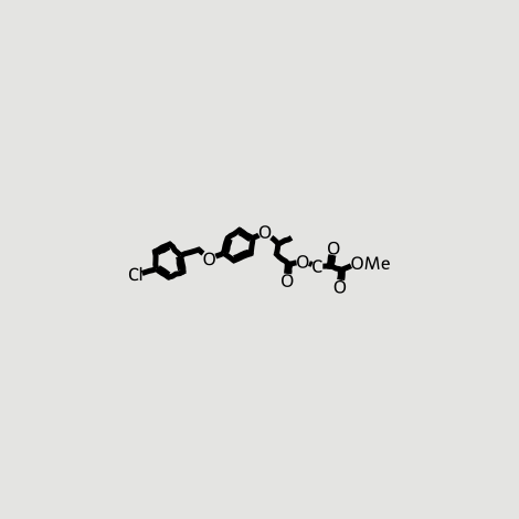 COC(=O)C(=O)COC(=O)CC(C)Oc1ccc(OCc2ccc(Cl)cc2)cc1